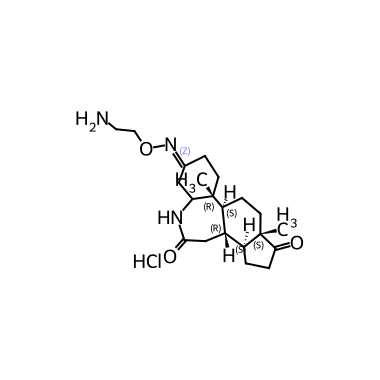 C[C@]12CC/C(=N/OCCN)CC1NC(=O)C[C@@H]1[C@@H]2CC[C@]2(C)C(=O)CC[C@@H]12.Cl